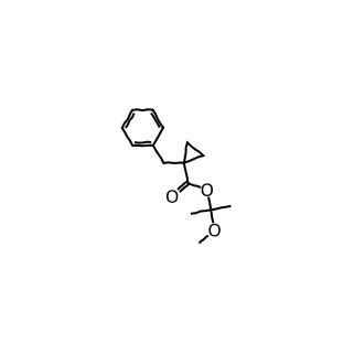 COC(C)(C)OC(=O)C1(Cc2ccccc2)CC1